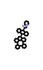 c1ccc2c(-c3cc4cccc5c6ccccc6c6ccccc6c6cccc3c6c45)c3ccccc3c(-c3cn4ccccc4n3)c2c1